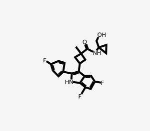 CC1(C(=O)NC2(CO)CC2)CC(c2c(-c3ccc(F)cc3)[nH]c3c(F)cc(F)cc23)C1